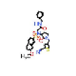 COc1ccc2ccc(S(=O)(=O)N(CC(=O)NCc3ccccc3)[C@H]3CCN(Cc4csc(C#N)c4)C3=O)cc2c1